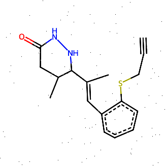 C#CCSc1ccccc1/C=C(\C)C1NNC(=O)CC1C